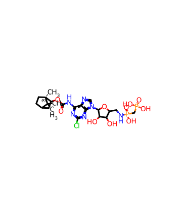 CC1(C)C2CC[C@@]1(C)C(OC(=O)Nc1nc(Cl)nc3c1ncn3C1OC(CNP(=O)(O)CP(=O)(O)O)C(O)C1O)C2